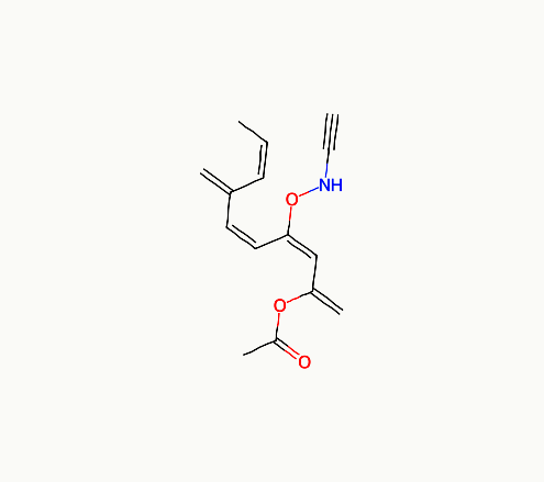 C#CNOC(/C=C\C(=C)/C=C\C)=C/C(=C)OC(C)=O